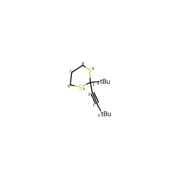 CC(C)(C)C#CC1(C(C)(C)C)SCCCS1